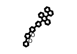 c1ccc2c(-c3c4ccccc4c(-c4ccc(-c5ccc6c(c5)oc5c6ccc6c7ccccc7oc65)cc4)c4ccccc34)cccc2c1